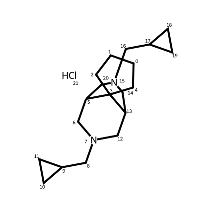 C1CCC2(C1)C1CN(CC3CC3)CC2CN(CC2CC2)C1.Cl